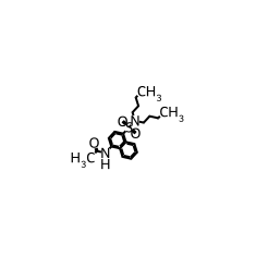 CCCCN(CCCC)S(=O)(=O)c1ccc(NC(C)=O)c2ccccc12